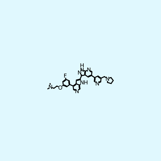 CN(C)CCOc1cc(F)cc(-c2cncc3[nH]c(-c4n[nH]c5ncc(-c6cncc(CN7CCCC7)c6)cc45)cc23)c1